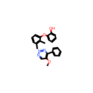 COc1cnnnc1-c1ccccc1.Cc1cccc(Oc2ccccc2O)c1C